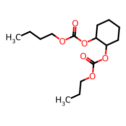 CCCCOC(=O)OC1CCCCC1OC(=O)OCCC